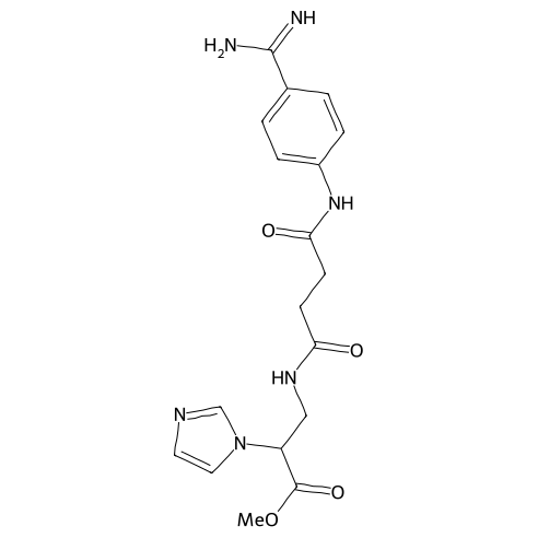 COC(=O)C(CNC(=O)CCC(=O)Nc1ccc(C(=N)N)cc1)n1ccnc1